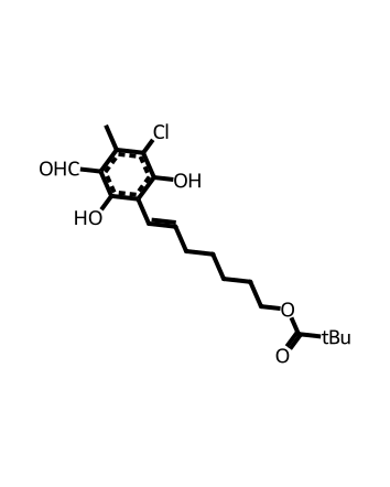 Cc1c(Cl)c(O)c(/C=C/CCCCCOC(=O)C(C)(C)C)c(O)c1C=O